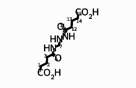 O=C(O)CCCC(=O)NCNNC(=O)CCCC(=O)O